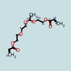 C=CC(=O)OCCOCCOC(C)OCCOC(=O)C=C